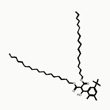 CCCCCCCCCCCCCCCCCCOC(=O)C(C(=O)OCCCCCCCCCCCCCCCCCC)C(O)c1cc(C(C)(C)C)cc(C)c1C